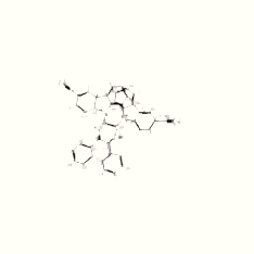 N#CC1=CC2c3ccccc3N(c3nc(-c4ccccc4)c(-c4ccccc4)nc3-n3c4ccccc4c4cc(C#N)ccc43)C2C=C1